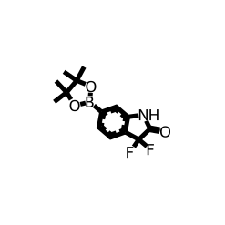 CC1(C)OB(c2ccc3c(c2)NC(=O)C3(F)F)OC1(C)C